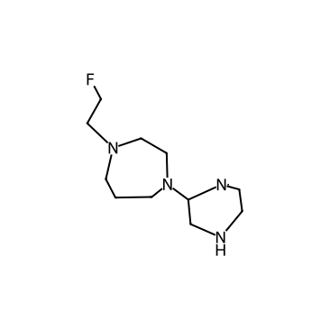 FCCN1CCCN(C2CNCC[N]2)CC1